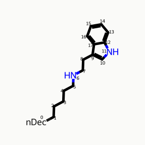 CCCCCCCCCCCCCCCNCCc1c[nH]c2ccccc12